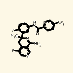 CC1(c2cc(NC(=O)c3ccc(C(F)(F)F)cn3)ccc2F)Cc2c(F)cncc2C(N)=N1